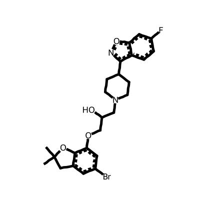 CC1(C)Cc2cc(Br)cc(OCC(O)CN3CCC(c4noc5cc(F)ccc45)CC3)c2O1